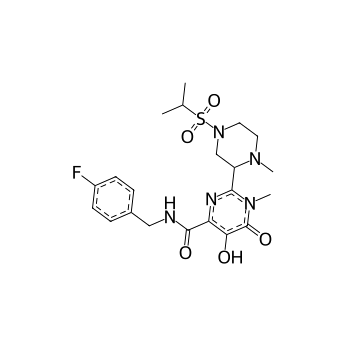 CC(C)S(=O)(=O)N1CCN(C)C(c2nc(C(=O)NCc3ccc(F)cc3)c(O)c(=O)n2C)C1